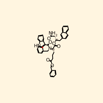 NC(=O)C[C@H](Cc1ccc2ccccc2c1)OC(=O)[C@H](CCCC(=O)OCc1ccccc1)N(Cc1ccccc1)C(=O)c1c[nH]c2ccccc12